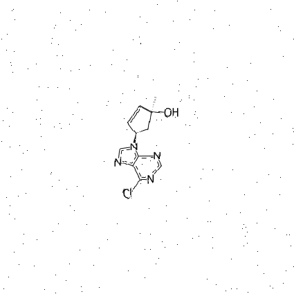 C[C@@]1(O)C=C[C@H](n2cnc3c(Cl)ncnc32)C1